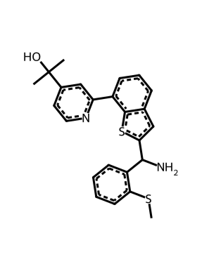 CSc1ccccc1C(N)c1cc2cccc(-c3cc(C(C)(C)O)ccn3)c2s1